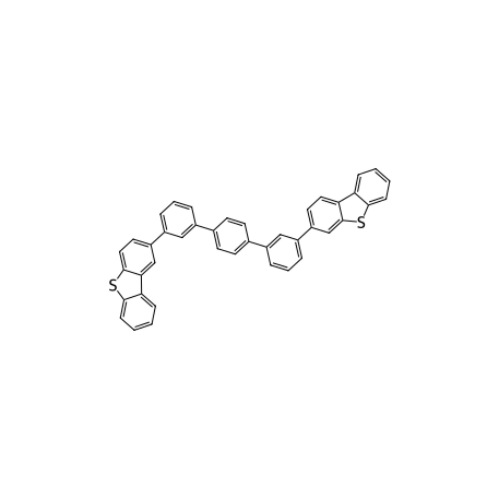 c1cc(-c2ccc(-c3cccc(-c4ccc5sc6ccccc6c5c4)c3)cc2)cc(-c2ccc3c(c2)sc2ccccc23)c1